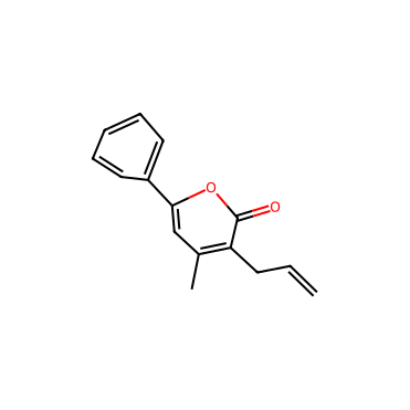 C=CCc1c(C)cc(-c2ccccc2)oc1=O